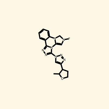 CC1OCCC1c1cn(-c2nnc3n2C2=CN(F)CN2c2ccccc2-3)nn1